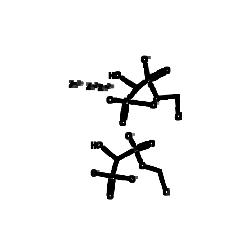 O=P([O-])([O-])C(O)P(=O)([O-])OCCl.O=P([O-])([O-])C(O)P(=O)([O-])OCCl.[Zn+2].[Zn+2].[Zn+2]